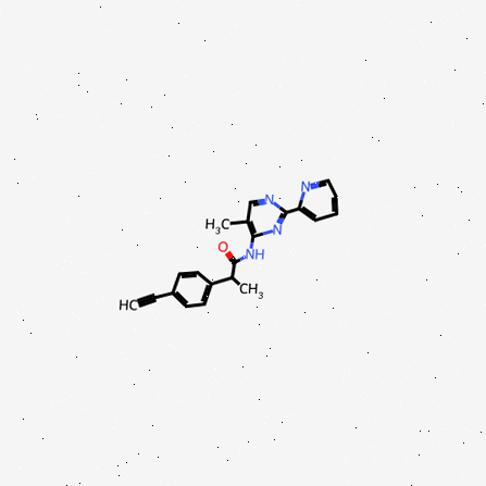 C#Cc1ccc(C(C)C(=O)Nc2nc(-c3ccccn3)ncc2C)cc1